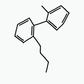 CCCCc1[c]cccc1-c1ccccc1C